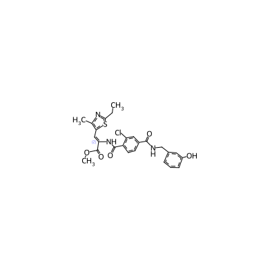 CCc1nc(C)c(/C=C(\NC(=O)c2ccc(C(=O)NCc3cccc(O)c3)cc2Cl)C(=O)OC)s1